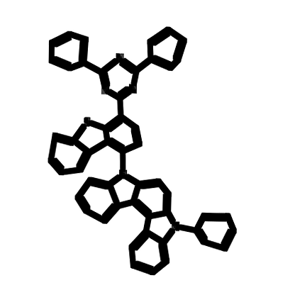 c1ccc(-c2nc(-c3ccccc3)nc(-c3ccc(-n4c5ccccc5c5c6c7ccccc7n(-c7ccccc7)c6ccc54)c4c3sc3ccccc34)n2)cc1